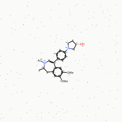 COc1cc2c(cc1OC)C(c1ccc(N3CC[C@H](O)C3)cc1)=CN(C(C)=O)C(C)C2